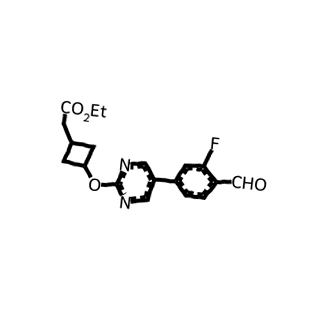 CCOC(=O)CC1CC(Oc2ncc(-c3ccc(C=O)c(F)c3)cn2)C1